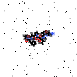 CCC(C)C(C(CC(=O)N1CCCC1C(OC)C(C)C(=O)NC(Cc1ccccc1)C(=O)NC(C)(C)C)OC)N(C)C(=O)C(NC(=O)C(C)(C)NC)C(C)C